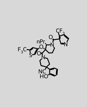 CCC[C@H]1N(C(=O)c2cnccc2C(F)(F)F)CCC[C@]1(Oc1csc(C(F)(F)F)c1)C(=O)N1CCC(C#N)(c2ccccc2O)CC1